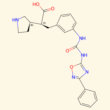 O=C(Nc1cccc(C[C@H](C(=O)O)[C@H]2CCNC2)c1)Nc1nc(-c2ccccc2)no1